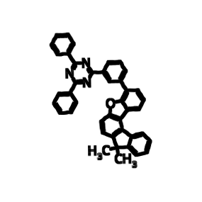 CC1(C)c2ccccc2-c2c1ccc1oc3c(-c4cccc(-c5nc(-c6ccccc6)nc(-c6ccccc6)n5)c4)cccc3c21